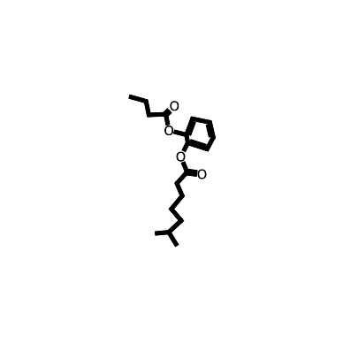 CCCC(=O)Oc1ccccc1OC(=O)CCCCC(C)C